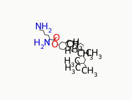 CC[C@H](CC[C@@H](C)[C@H]1CC[C@H]2[C@@H]3CC=C4C[C@@H](OC(=O)[C@@H](N)CCCCN)CC[C@]4(C)[C@H]3CC[C@]12C)C(C)C